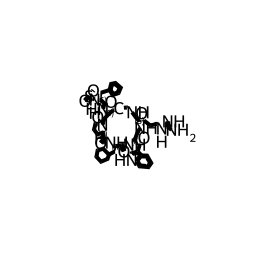 CS(=O)(=O)N[C@@H](Cc1ccccc1)C(=O)N[C@H]1CCCNC(=O)[C@H](CCCNC(=N)N)NC(=O)[C@H](Cc2c[nH]c3ccccc23)NC(=O)[C@@H](CC2CCCCC2)NC(=O)[C@@H]2CCCN2C1=O